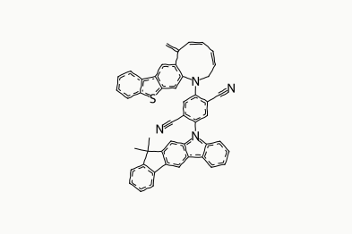 C=C1/C=C\C=C/CN(c2cc(C#N)c(-n3c4ccccc4c4cc5c(cc43)C(C)(C)c3ccccc3-5)cc2C#N)c2cc3sc4ccccc4c3cc21